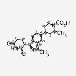 C[C@H]1C[C@@H](c2ccc3c(C4CCC(=O)NC4=O)nn(C)c3c2)CCN1C(=O)O